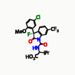 COc1ccc(Cl)cc1[C@]1(F)C(=O)N(C(=O)N[C@H](C(=O)O)C(C)C)c2cc(C(F)(F)F)ccc21